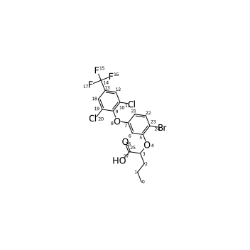 CCCC(Oc1cc(Oc2c(Cl)cc(C(F)(F)F)cc2Cl)ccc1Br)C(=O)O